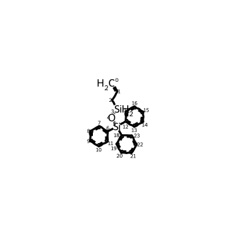 C=CC[SiH2]O[Si](c1ccccc1)(c1ccccc1)c1ccccc1